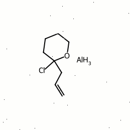 C=CCC1(Cl)CCCCO1.[AlH3]